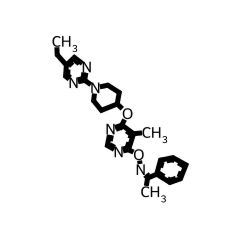 CCc1cnc(N2CCC(Oc3ncnc(ON=C(C)c4ccccc4)c3C)CC2)nc1